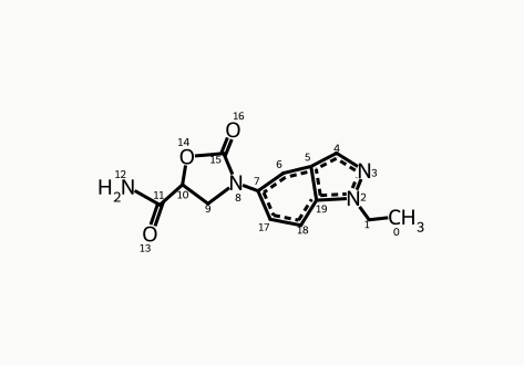 CCn1ncc2cc(N3CC(C(N)=O)OC3=O)ccc21